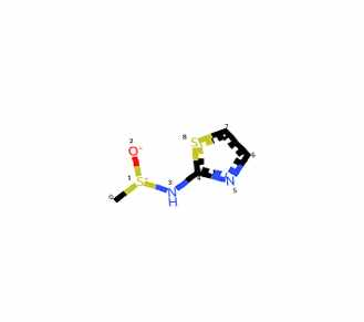 C[S+]([O-])Nc1nccs1